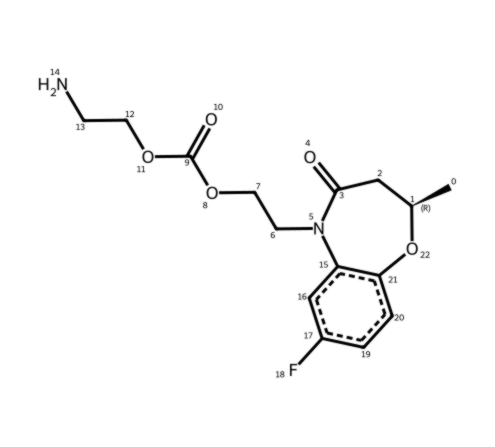 C[C@@H]1CC(=O)N(CCOC(=O)OCCN)c2cc(F)ccc2O1